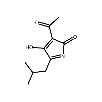 CC(=O)C1=C(O)C(CC(C)C)=NC1=O